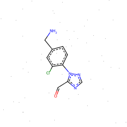 NCc1ccc(-n2ncnc2C=O)c(Cl)c1